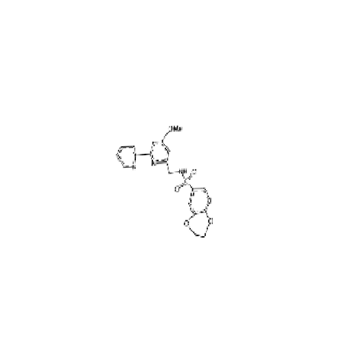 COc1cc(CNS(=O)(=O)c2ccc3c(c2)OCCO3)nc(-c2ccccn2)c1